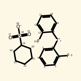 Fc1ccccc1[I+]c1ccccc1F.O=S(=O)([O-])C1CCCCC1